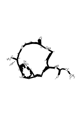 COC(=O)NC1=C\C=C2/c3nc([nH]c32)[C@@H](N)COCCC(=O)N\C=C\1